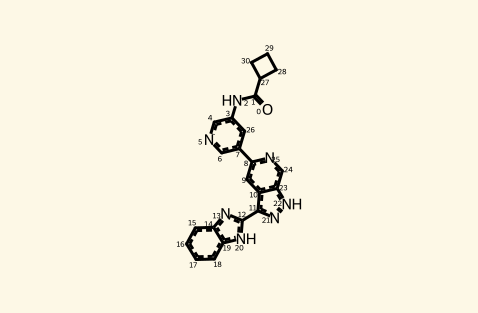 O=C(Nc1cncc(-c2cc3c(-c4nc5ccccc5[nH]4)n[nH]c3cn2)c1)C1CCC1